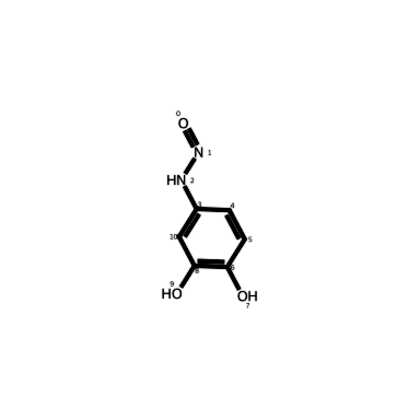 O=NNc1ccc(O)c(O)c1